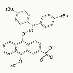 CC(C)(C)c1ccc([I+]c2ccc(C(C)(C)C)cc2)cc1.CCOc1c2ccccc2c(OCC)c2cc(S(=O)(=O)[O-])ccc12